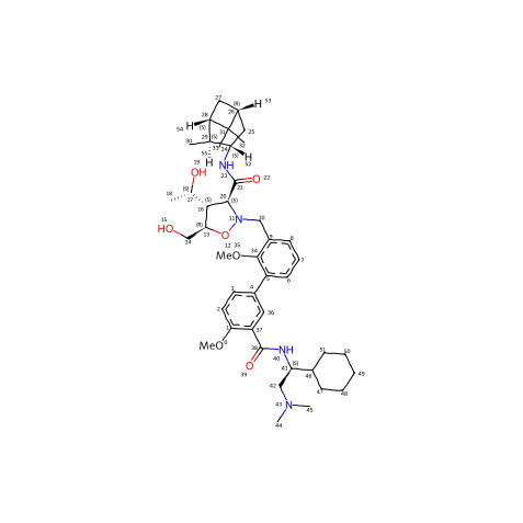 COc1ccc(-c2cccc(CN3O[C@@H](CO)[C@H]([C@H](C)O)[C@H]3C(=O)N[C@H]3C[C@H]4C[C@@H]([C@@H]3C)C4(C)C)c2OC)cc1C(=O)N[C@H](CN(C)C)C1CCCCC1